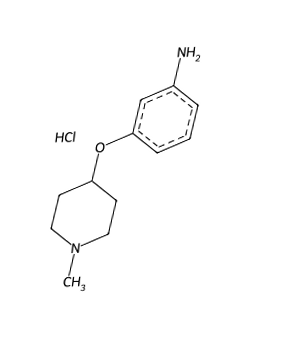 CN1CCC(Oc2cccc(N)c2)CC1.Cl